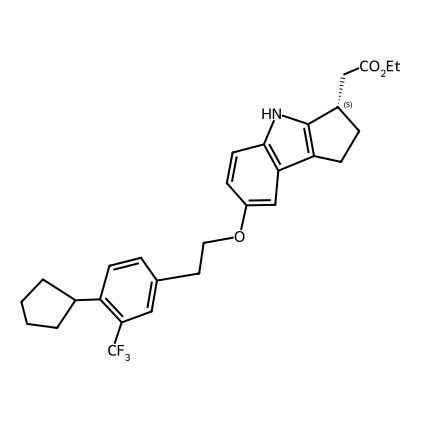 CCOC(=O)C[C@@H]1CCc2c1[nH]c1ccc(OCCc3ccc(C4CCCC4)c(C(F)(F)F)c3)cc21